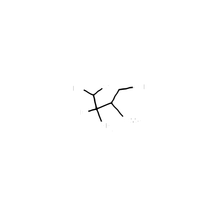 BC(O)(C(C)O)C(CO)OC